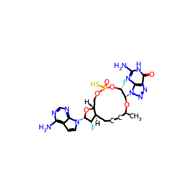 C[C@H]1CCC[C@H]2[C@H](F)[C@H](n3ccc4c(N)ncnc43)O[C@@H]2COP(=O)(S)O[C@H](F)[C@H](n2nnc3c(=O)[nH]c(N)nc32)O1